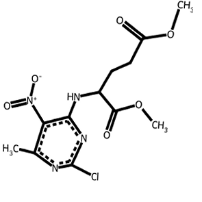 COC(=O)CCC(Nc1nc(Cl)nc(C)c1[N+](=O)[O-])C(=O)OC